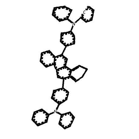 C1=c2c(-c3ccc(N(c4ccccc4)c4ccccc4)cc3)cc3c(cc(-c4ccc(N(c5ccccc5)c5ccccc5)cc4)c4ccccc43)c2=CCC1